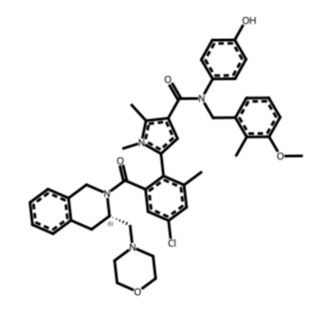 COc1cccc(CN(C(=O)c2cc(-c3c(C)cc(Cl)cc3C(=O)N3Cc4ccccc4C[C@H]3CN3CCOCC3)n(C)c2C)c2ccc(O)cc2)c1C